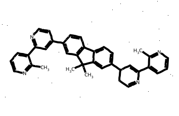 Cc1ncccc1C1=CC(c2ccc3c(c2)C(C)(C)c2cc(-c4ccnc(-c5cccnc5C)c4)ccc2-3)CC=N1